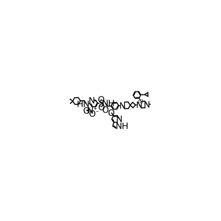 CN1CCN(C2CC3(CCN(c4ccc(C(=O)NS(=O)(=O)c5cnc(NCC6CCC(C)(C)CC6)c([N+](=O)[O-])c5)c(Oc5cnc6[nH]ccc6c5)c4)CC3)C2)[C@@H](c2ccccc2C2CC2)C1